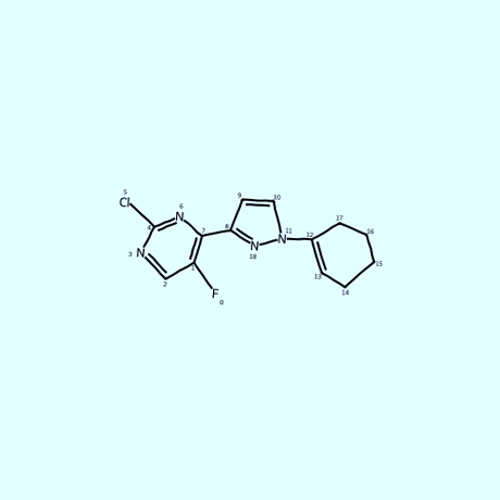 Fc1cnc(Cl)nc1-c1ccn(C2=CCCCC2)n1